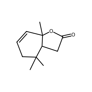 CC1(C)CC=CC2(C)OC(=O)CC12